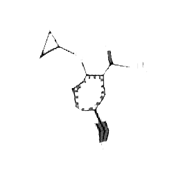 CC(=O)c1cc(C#N)ccc1OC1CC1